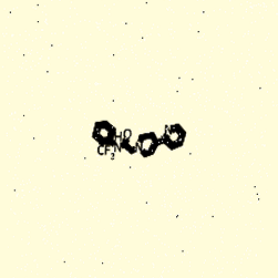 O=C(CN1CC=C(c2ccccn2)CC1)Nc1ccccc1C(F)(F)F